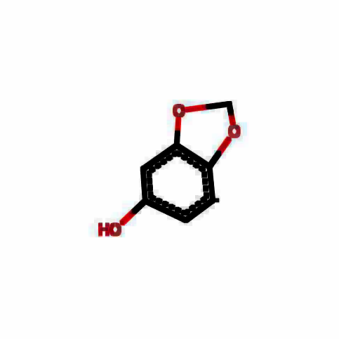 Oc1c[c]c2c(c1)OCO2